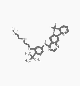 COCCNCCOc1cc(Nc2ncnc3cc(-c4ncccc4C(F)(F)F)ccc23)ccc1C(C)(C)C